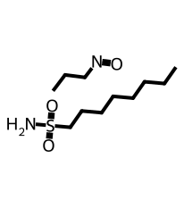 CCCCCCCCS(N)(=O)=O.CCCN=O